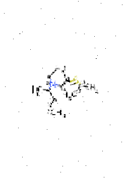 CCCC(C)N1CCCC(SC(C)C)C1